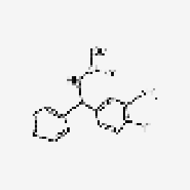 CC(C)(C)[S+]([O-])NC(c1ccccc1)c1ccc(F)c(N)c1